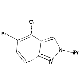 CC(C)n1cc2c(Cl)c(Br)ccc2n1